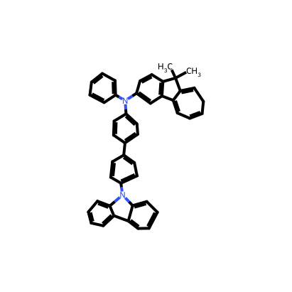 CC1(C)C2=CCC=CC=C2c2cc(N(c3ccccc3)c3ccc(-c4ccc(-n5c6ccccc6c6ccccc65)cc4)cc3)ccc21